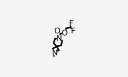 CN1CC2(CCN(C(=O)OCC(F)F)CC2)C1